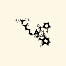 CC(C)OC(=O)CC/C=C\[C@@H]1C[C@]1(NC(=O)[C@@H]1CCCN1)P(=O)(O)Cc1c(F)cccc1F